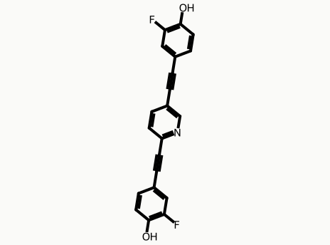 Oc1ccc(C#Cc2ccc(C#Cc3ccc(O)c(F)c3)nc2)cc1F